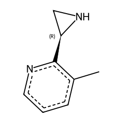 Cc1cccnc1[C@H]1CN1